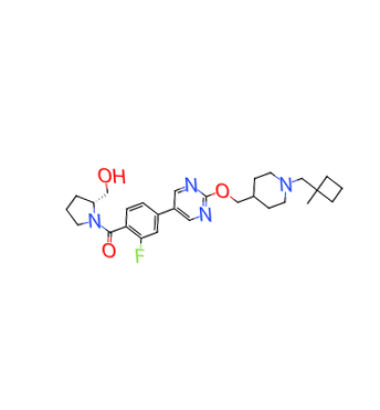 CC1(CN2CCC(COc3ncc(-c4ccc(C(=O)N5CCC[C@@H]5CO)c(F)c4)cn3)CC2)CCC1